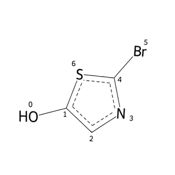 Oc1cnc(Br)s1